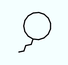 [CH2]CCCC1CCCCCCCCCCCCCC1